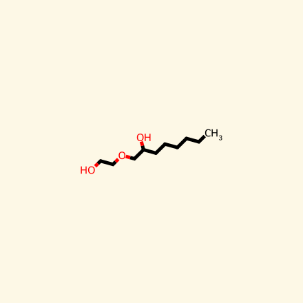 CCCCCCC(O)COCCO